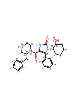 O=C(c1[nH]c(=O)n([C@H]2CCCC[C@@H]2O)c1-c1ccccc1)N1CCNC[C@H]1Cc1ccccc1